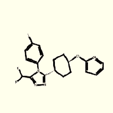 FC(F)c1nnc([C@H]2CC[C@H](Oc3ccccn3)CC2)n1-c1ccc(I)cc1